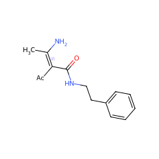 CC(=O)/C(C(=O)NCCc1ccccc1)=C(\C)N